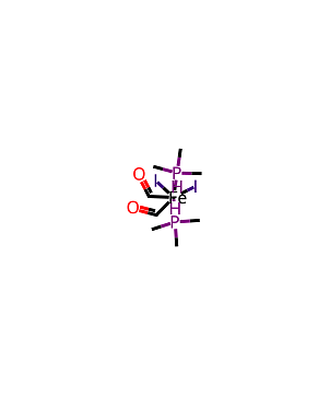 C[PH](C)(C)[Fe]([I])([I])([CH]=O)([CH]=O)[PH](C)(C)C